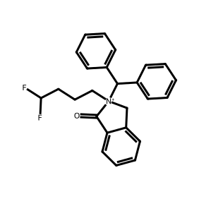 O=C1c2ccccc2C[N+]1(CCCC(F)F)C(c1ccccc1)c1ccccc1